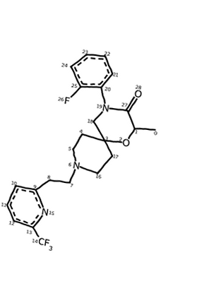 CC1OC2(CCN(CCc3cccc(C(F)(F)F)n3)CC2)CN(c2ccccc2F)C1=O